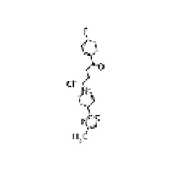 Cc1csc(-c2cc[n+](CCCC(=O)c3ccc(F)cc3)cc2)n1.[Cl-]